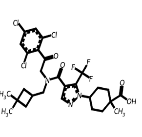 CC1(C)CC(CN(CC(=O)c2c(Cl)cc(Cl)cc2Cl)C(=O)c2cnn(C3CCC(C)(C(=O)O)CC3)c2C(F)(F)F)C1